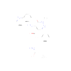 CCn1nc(-c2ccccc2)c(C(=O)OCCNC(=O)OC(C)(C)C)c(Nc2cccc3ncccc23)c1=O